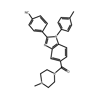 Cc1ccc(-n2c(-c3ccc(C#N)cc3)nc3cc(C(=O)N4CCN(C)CC4)ccc32)cc1